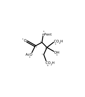 CCCCCC(C(=O)OC(C)=O)C(O)(CC(=O)O)C(=O)O